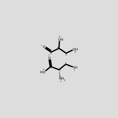 N[C@@H](CS)C(=O)O.O=CC(O)CO